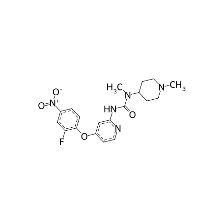 CN1CCC(N(C)C(=O)Nc2cc(Oc3ccc([N+](=O)[O-])cc3F)ccn2)CC1